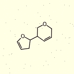 [CH]1OCC=CC1C1CC=CO1